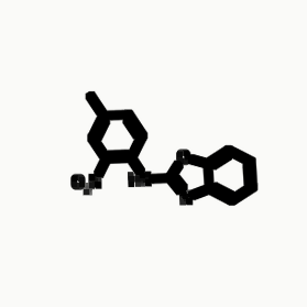 Cc1ccc(Nc2nc3ccccc3o2)c([N+](=O)[O-])c1